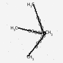 CCCCCCCCCCCCOCCOCCOCCOCCOc1cc(C)cc(OCCOCCOCCOCCOCCCCCCCCCCCC)c1OCCOCCOCCOCCOCCCCCCCCCCCC